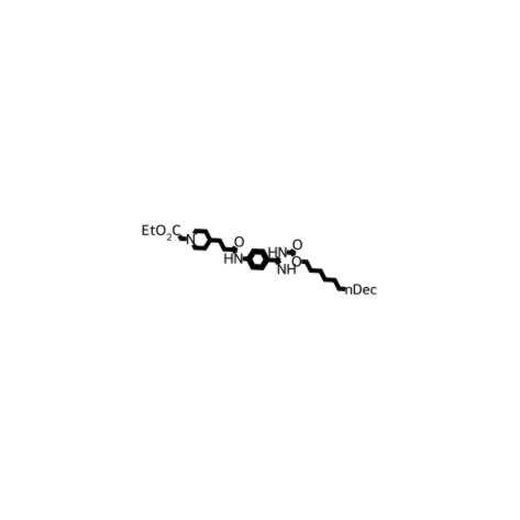 CCCCCCCCCCCCCCCCOC(=O)NC(=N)c1ccc(NC(=O)CCC2CCN(CC(=O)OCC)CC2)cc1